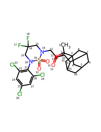 CC(=O)C12CC3CC(C1)C(CC(=O)CN1CC(F)(F)CN(c4c(Cl)cc(Cl)cc4Cl)S1(=O)=O)C(C3)C2